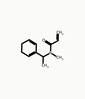 C=CC(=O)N(C)C(C)C1=CCCC=C1